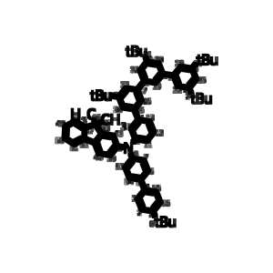 CC(C)(C)c1ccc(-c2ccc(N(c3cccc(-c4cc(-c5cc(-c6cc(C(C)(C)C)cc(C(C)(C)C)c6)cc(C(C)(C)C)c5)cc(C(C)(C)C)c4)c3)c3ccc4c(c3)C(C)(C)c3ccccc3-4)cc2)cc1